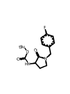 CC(C)(C)OC(=O)NC1CCN(Cc2ccc(F)cc2)C1=O